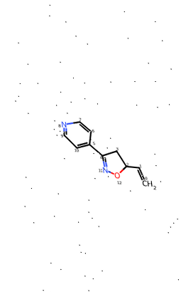 C=CC1CC(c2ccncc2)=NO1